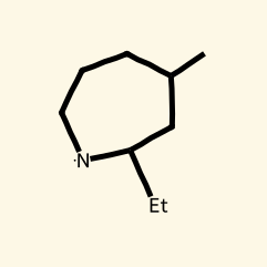 CCC1CC(C)CCC[N]1